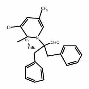 CCCC[C@]1(C)C(Cl)=CC(C(F)(F)F)=CN1C(C=O)(Cc1ccccc1)Cc1ccccc1